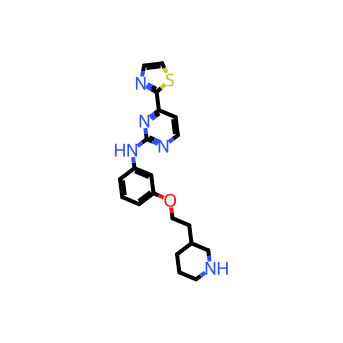 c1cc(Nc2nccc(-c3nccs3)n2)cc(OCCC2CCCNC2)c1